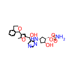 Cc1oc(C(O)c2cncnc2N[C@@H]2C[C@H](COS(N)(=O)=O)[C@@H](O)C2)cc1C1OCCc2ccccc21